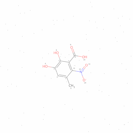 Cc1cc(O)c(O)c(C(=O)O)c1[N+](=O)[O-]